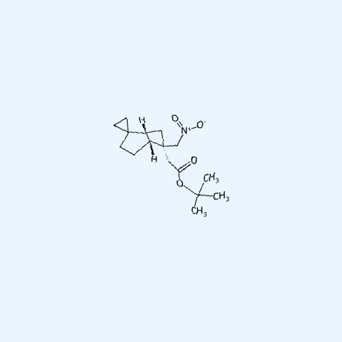 CC(C)(C)OC(=O)C[C@@]1(C[N+](=O)[O-])C[C@@H]2[C@H]1CCC21CC1